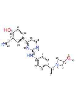 COC1CN(C(C)c2ccc(Nc3nccc(-c4ccc(O)c(C#N)c4)n3)cc2)C1